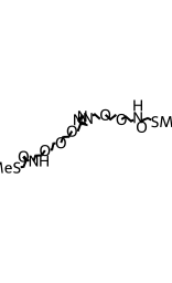 CSCC(=O)NCCOCCOCCOCc1cn(CCOCCOCCNC(=O)CSC)nn1